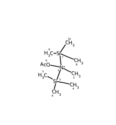 CC(=O)O[N+](C)([Si](C)(C)C)[Si](C)(C)C